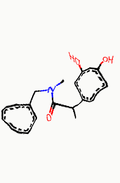 CC(C(=O)N(C)Cc1ccccc1)c1ccc(O)c(O)c1